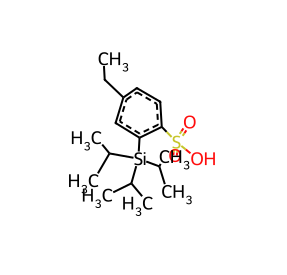 CCc1ccc(S(=O)(=O)O)c([Si](C(C)C)(C(C)C)C(C)C)c1